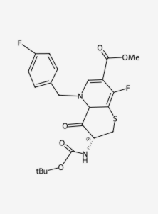 COC(=O)C1=CN(Cc2ccc(F)cc2)C2C(=O)[C@@H](NC(=O)OC(C)(C)C)CSC2=C1F